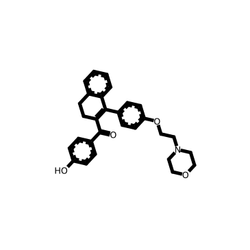 O=C(C1=C(c2ccc(OCCN3CCOCC3)cc2)c2ccccc2CC1)c1ccc(O)cc1